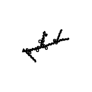 CCCCCCCCCC(OC(=O)CCCCCC(=O)OCC(COC(=O)CCCCCCC(=O)OC(CCCCCCCC)CCCCCCCC)COC(=O)OCCCN(CC)CC)C1CC1